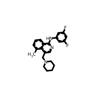 Cc1cccc2c(Nc3cc(F)cc(F)c3)ncc(CN3CCCCC3)c12